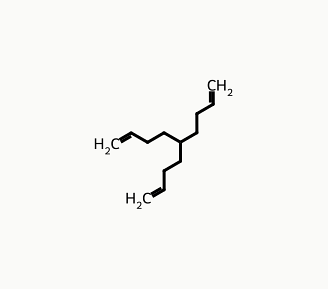 C=CCCC(CCC=C)CCC=C